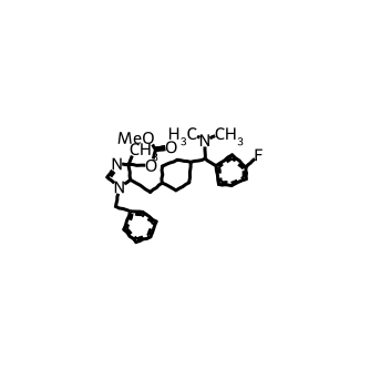 COC(=O)OC1(C)N=CN(Cc2ccccc2)C1CC1CCC(C(c2cccc(F)c2)N(C)C)CC1